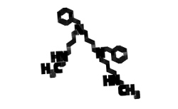 CCNCCCCN(CCCCN(CCCCNCC)Cc1ccccc1)Cc1ccccc1